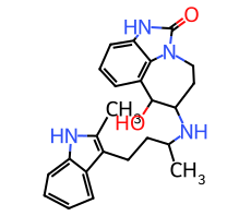 Cc1[nH]c2ccccc2c1CCC(C)NC1CCn2c(=O)[nH]c3cccc(c32)C1O